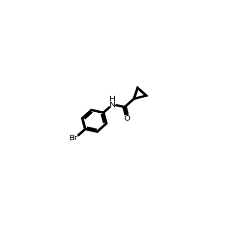 O=C(Nc1ccc(Br)cc1)C1CC1